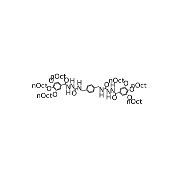 CCCCCCCCOc1cc(C(=O)NNC(=O)NCc2ccc(CNC(=O)NNC(=O)c3cc(OCCCCCCCC)c(OCCCCCCCC)c(OCCCCCCCC)c3)cc2)cc(OCCCCCCCC)c1OCCCCCCCC